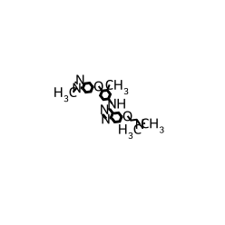 Cc1cc(Nc2ncnc3ccc(OCCN(C)C)cc23)ccc1Oc1ccc2c(c1)ncn2C